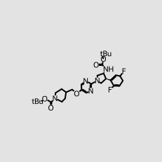 CC(C)(C)OC(=O)N[C@H]1CN(c2ncc(OCC3CCN(C(=O)OC(C)(C)C)CC3)cn2)C[C@@H]1C1=CC(F)CC=C1F